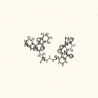 CN(CCCSc1cccc2c1C(=O)N(C1CCC(=O)NC1=O)C2=O)CCC(=O)NC(c1cccnc1)c1cc2ccccc2o1